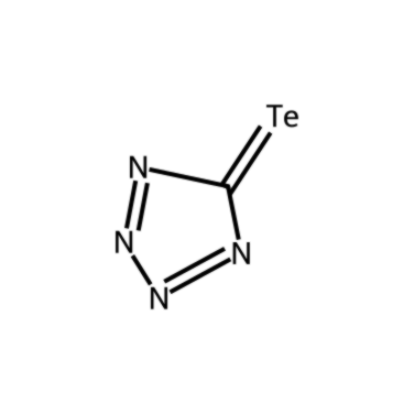 [Te]=C1N=NN=N1